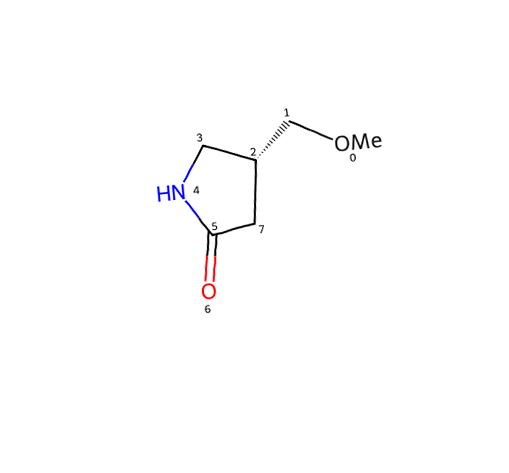 COC[C@H]1CNC(=O)C1